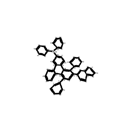 c1ccc(-c2cc(-c3ccc4ccccc4c3)c(-c3ccccc3)c3c4ccc(N(c5ccccc5)c5ccccc5)cc4c4ccccc4c23)cc1